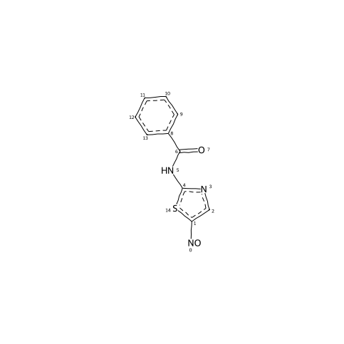 O=Nc1cnc(NC(=O)c2ccccc2)s1